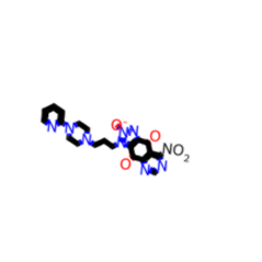 O=C1c2n[n+]([O-])n(CCCN3CCN(c4ccccn4)CC3)c2C(=O)c2ncnc([N+](=O)[O-])c21